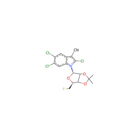 CC1(C)OC2C(O1)[C@@H](CF)O[C@H]2n1c(Cl)c(C#N)c2cc(Cl)c(Cl)cc21